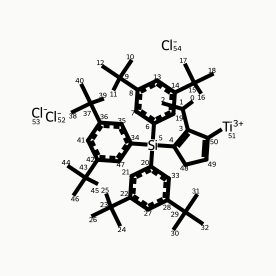 CC(C)C1=C([Si](c2cc(C(C)(C)C)cc(C(C)(C)C)c2)(c2cc(C(C)(C)C)cc(C(C)(C)C)c2)c2cc(C(C)(C)C)cc(C(C)(C)C)c2)CC=[C]1[Ti+3].[Cl-].[Cl-].[Cl-]